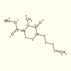 C=CCCCN1CCN(C(=O)OC(C)(C)C)C(C)C1=O